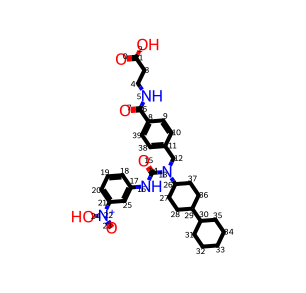 O=C(O)CCNC(=O)c1ccc(CN(C(=O)Nc2cccc([N+](=O)O)c2)C2CCC(C3CCCCC3)CC2)cc1